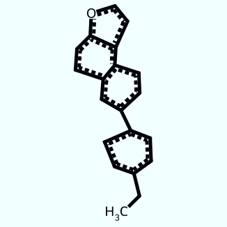 CCc1ccc(-c2ccc3c(ccc4occc43)c2)cc1